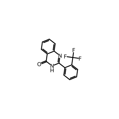 O=c1[nH]c(-c2ccccc2C(F)(F)F)nc2ccccc12